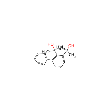 CC(C)(O)c1cccc(-c2ccccc2)c1C(C)(C)O